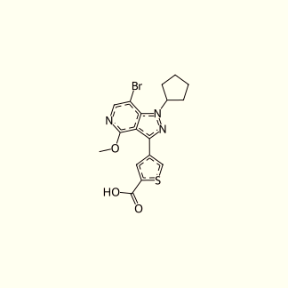 COc1ncc(Br)c2c1c(-c1csc(C(=O)O)c1)nn2C1CCCC1